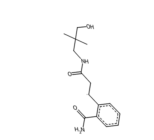 CC(C)(CO)CNC(=O)C[CH]c1ccccc1C(N)=O